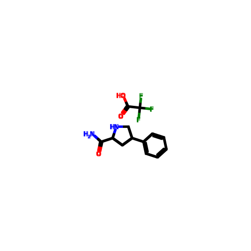 NC(=O)C1CC(c2ccccc2)CN1.O=C(O)C(F)(F)F